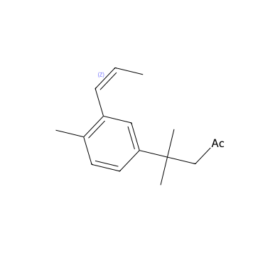 C/C=C\c1cc(C(C)(C)CC(C)=O)ccc1C